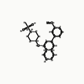 COc1cccc(-c2cc(OC3CCN(S(C)(=O)=O)CC3)c3cnccc3c2)c1